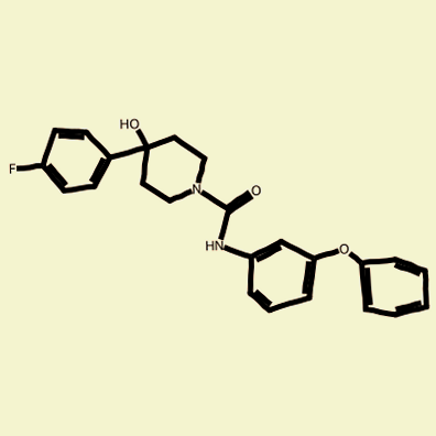 O=C(Nc1cccc(Oc2ccccc2)c1)N1CCC(O)(c2ccc(F)cc2)CC1